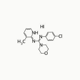 Cc1ccc[nH]c1=NC(=Nc1ccc(Cl)cc1)N1CCOCC1.I